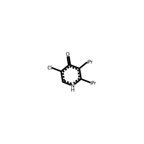 CC(C)c1[nH]cc(Cl)c(=O)c1C(C)C